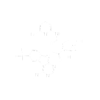 C[C@@]12C[C@@H](C(=O)Nc3cccc(Br)n3)N(C(=O)Cn3c4ccc(C(F)(F)F)cc4c4c(N)ncnc43)[C@@H]1C2